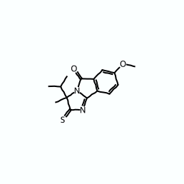 COc1ccc2c(c1)C(=O)N1C2=NC(=S)C1(C)C(C)C